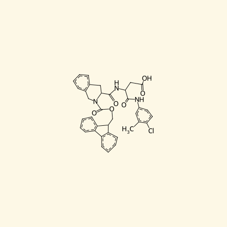 Cc1cc(NC(=O)C(CC(=O)O)NC(=O)C2Cc3ccccc3CN2C(=O)OCC2c3ccccc3-c3ccccc32)ccc1Cl